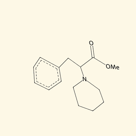 COC(=O)C(Cc1ccccc1)N1CCCCC1